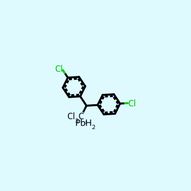 Clc1ccc(C(c2ccc(Cl)cc2)C(Cl)(Cl)Cl)cc1.[PbH2]